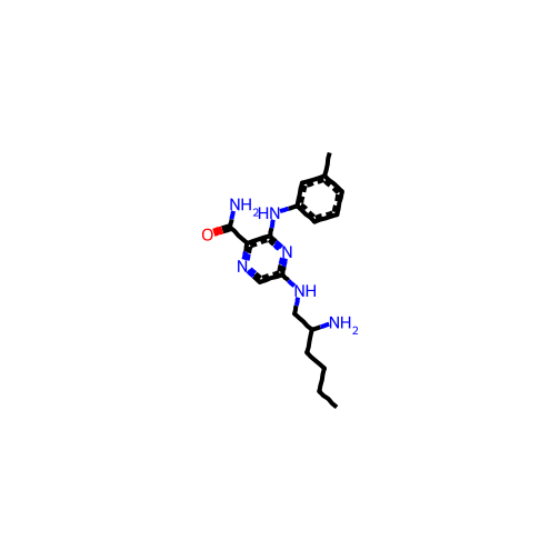 CCCCC(N)CNc1cnc(C(N)=O)c(Nc2cccc(C)c2)n1